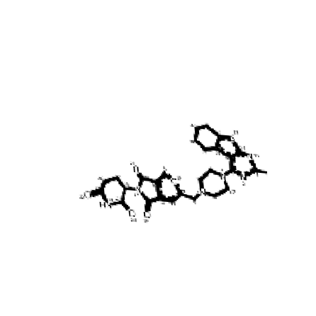 Cc1nc(N2CCN(Cc3ccc4c(c3)C(=O)N(C3CCC(=O)NC3=O)C4=O)CC2)c2c3c(sc2n1)CCCC3